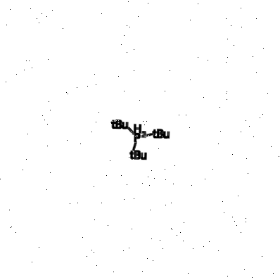 CC(C)(C)[PH2](C(C)(C)C)C(C)(C)C